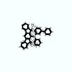 CC1(C)c2ccccc2-c2cc3c(c(N(c4ccccc4)c4cccc(-c5ccccc5)c4)c21)C(C)(C)c1ccccc1-3